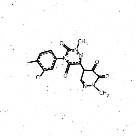 CN1N=CC(c2nn(C)c(=O)n(-c3ccc(F)c(Cl)c3)c2=O)C(=O)C1=O